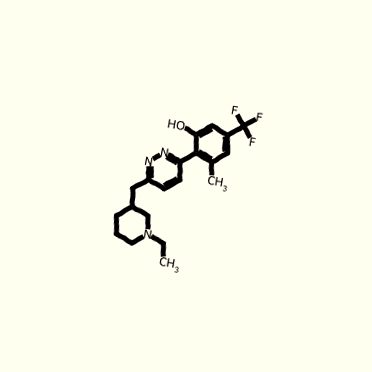 CCN1CCCC(Cc2ccc(-c3c(C)cc(C(F)(F)F)cc3O)nn2)C1